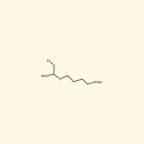 CCCCCCCCCCCOC(OC)OCC